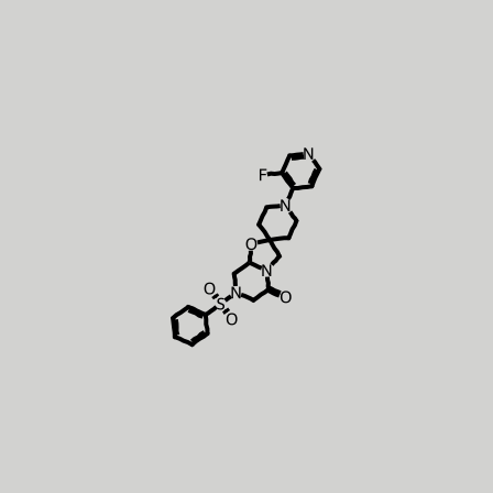 O=C1CN(S(=O)(=O)c2ccccc2)CC2OC3(CCN(c4ccncc4F)CC3)CN12